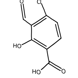 O=Cc1c(Cl)ccc(C(=O)O)c1O